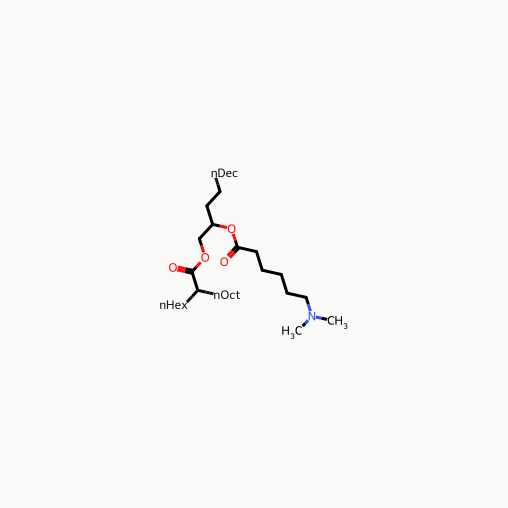 CCCCCCCCCCCCC(COC(=O)C(CCCCCC)CCCCCCCC)OC(=O)CCCCCN(C)C